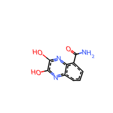 NC(=O)c1cccc2nc(O)c(O)nc12